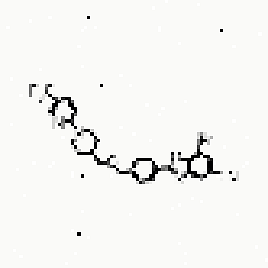 CC(C)c1cc(C#N)cc2nc(-c3ccc(COCC4CCN(c5ccc(C(F)(F)F)cn5)CC4)cc3)oc12